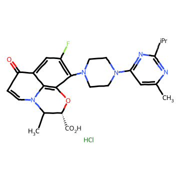 Cc1cc(N2CCN(c3c(F)cc4c(=O)ccn5c4c3O[C@H](C(=O)O)C5C)CC2)nc(C(C)C)n1.Cl